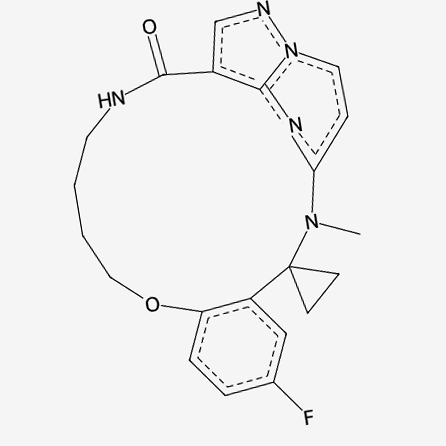 CN1c2ccn3ncc(c3n2)C(=O)NCCCCOc2ccc(F)cc2C12CC2